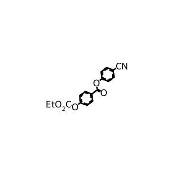 CCOC(=O)Oc1ccc(C(=O)Oc2ccc(C#N)cc2)cc1